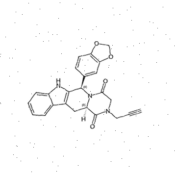 C#CCN1CC(=O)N2[C@H](c3ccc4c(c3)OCO4)c3[nH]c4ccccc4c3C[C@@H]2C1=O